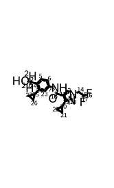 [2H]C([2H])(O)c1ccc(NC(=O)c2cn(CC(F)F)nc2C2CC2)cc1C1CC1